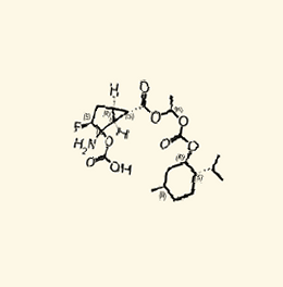 CC(C)[C@@H]1CC[C@@H](C)C[C@H]1OC(=O)O[C@H](C)OC(=O)[C@H]1[C@@H]2C[C@H](F)[C@@](N)(OC(=O)O)[C@@H]21